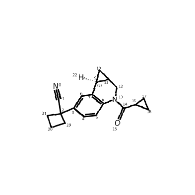 N#CC1(c2ccc3c(c2)[C@H]2CC2CN3C(=O)C2CC2)CCC1